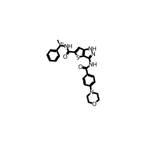 C[C@@H](NC(=O)c1cc2[nH]nc(NC(=O)c3ccc(N4CCOCC4)cc3)c2s1)c1ccccc1